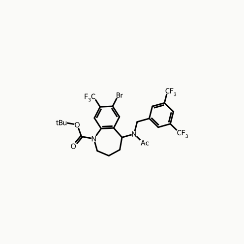 CC(=O)N(Cc1cc(C(F)(F)F)cc(C(F)(F)F)c1)C1CCCN(C(=O)OC(C)(C)C)c2cc(C(F)(F)F)c(Br)cc21